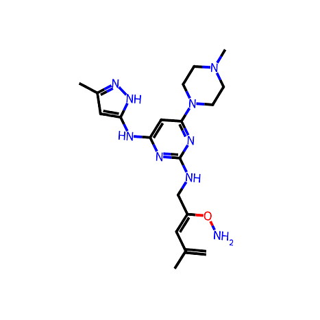 C=C(C)/C=C(/CNc1nc(Nc2cc(C)n[nH]2)cc(N2CCN(C)CC2)n1)ON